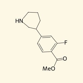 COC(=O)c1ccc(C2CCCNC2)cc1F